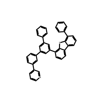 c1ccc(-c2cc(-c3cccc(-c4cccnc4)c3)cc(-c3cccc4c3sc3c(-c5ccccc5)cccc34)c2)cc1